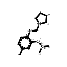 Cc1ccc(N=CN2CCCC2)c(O[SiH](C)C)c1